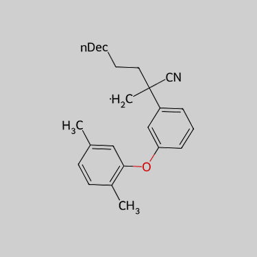 [CH2]C(C#N)(CCCCCCCCCCCC)c1cccc(Oc2cc(C)ccc2C)c1